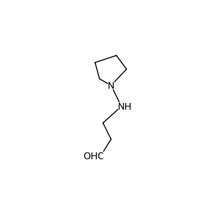 O=CCCNN1CCCC1